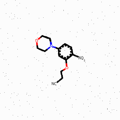 N#CCCOc1cc(N2CCOCC2)ccc1[N+](=O)[O-]